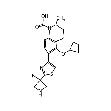 C[C@H]1CCc2c(ccc(-c3csc(C4(F)CNC4)n3)c2OC2CCC2)N1C(=O)O